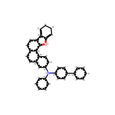 C1=c2oc3c(ccc4ccc5cc(N(c6ccccc6)c6ccc(-c7ccccc7)cc6)ccc5c43)c2=CCC1